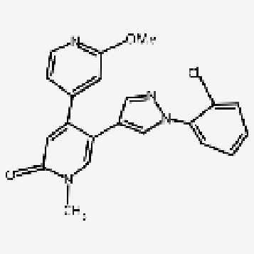 COc1cc(-c2cc(=O)n(C)cc2-c2cnn(-c3ccccc3Cl)c2)ccn1